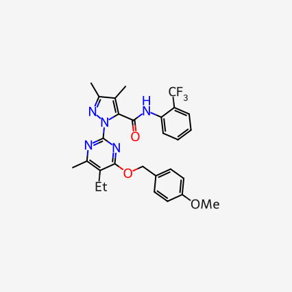 CCc1c(C)nc(-n2nc(C)c(C)c2C(=O)Nc2ccccc2C(F)(F)F)nc1OCc1ccc(OC)cc1